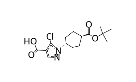 CC(C)(C)OC(=O)[C@H]1CC[C@H](n2ncc(C(=O)O)c2Cl)CC1